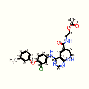 O=C(NCCOC(=O)C(F)(F)F)C1=Cc2c(ncnc2Nc2ccc(Oc3cccc(C(F)(F)F)c3)c(Cl)c2)NCC1